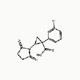 O=C1CCC(=O)N1C1CC1(C(=O)O)c1cccc(Cl)c1